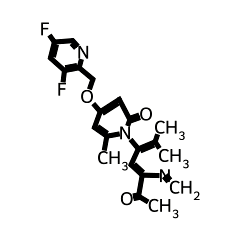 C=N/C(=C\C(=C(C)C)n1c(C)cc(OCc2ncc(F)cc2F)cc1=O)C(C)=O